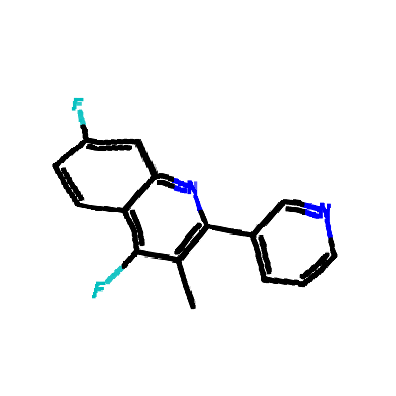 Cc1c(-c2cccnc2)nc2cc(F)ccc2c1F